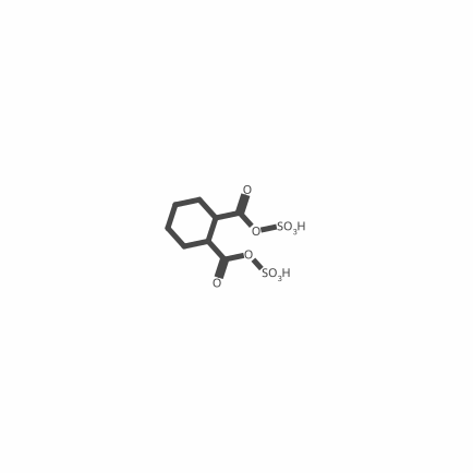 O=C(OS(=O)(=O)O)C1CCCCC1C(=O)OS(=O)(=O)O